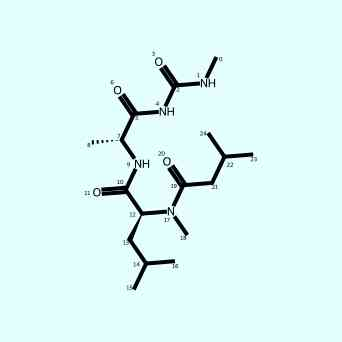 CNC(=O)NC(=O)[C@@H](C)NC(=O)[C@H](CC(C)C)N(C)C(=O)CC(C)C